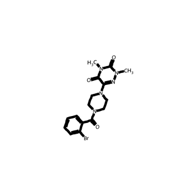 Cn1nc(N2CCN(C(=O)c3ccccc3Br)CC2)c(=O)n(C)c1=O